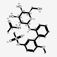 COc1ccc(OS(C)(=O)=O)cc1-c1ccccc1O[C@@H]1O[C@H](CO)[C@H](O)[C@H](O)[C@H]1NC(C)=O